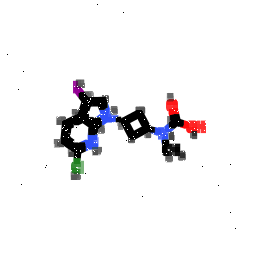 CN(C(=O)O)[C@H]1C[C@H](n2cc(I)c3ccc(Cl)nc32)C1